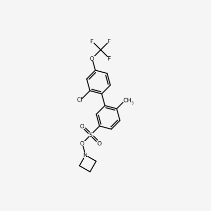 Cc1ccc(S(=O)(=O)ON2CCC2)cc1-c1ccc(OC(F)(F)F)cc1Cl